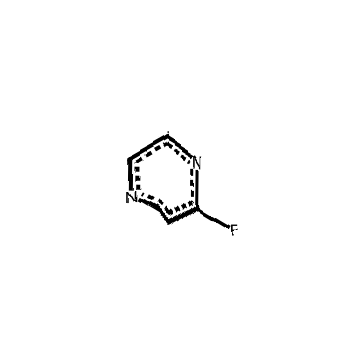 Fc1cnc[c]n1